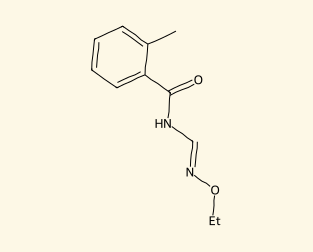 CCON=CNC(=O)c1ccccc1C